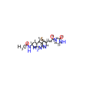 CC(=O)Nc1ccc(-c2csc3c(/C=C/C(=O)N4CCNC(=O)C4)cnc(N)c23)cc1